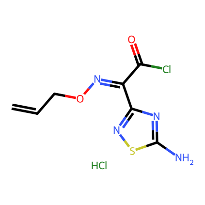 C=CCO/N=C(/C(=O)Cl)c1nsc(N)n1.Cl